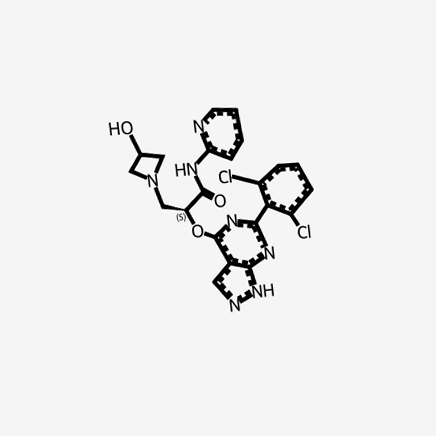 O=C(Nc1ccccn1)[C@H](CN1CC(O)C1)Oc1nc(-c2c(Cl)cccc2Cl)nc2[nH]ncc12